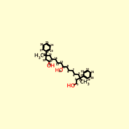 CC(CCO)(CCCCCC(O)CCCCCC(C)(CCO)c1ccccc1)c1ccccc1